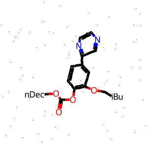 CCCCCCCCCCOC(=O)Oc1ccc(-c2cnccn2)cc1OCC(C)CC